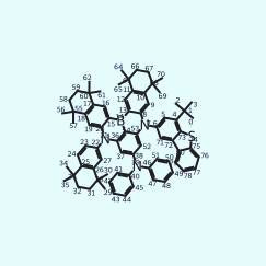 CC(C)(C)c1cc(N2c3cc4c(cc3B3c5cc6c(cc5N(c5ccc7c(c5)C(C)(C)CCC7(C)C)c5cc(N(c7ccccc7)c7ccccc7)cc2c53)C(C)(C)CCC6(C)C)C(C)(C)CCC4(C)C)cc2c1sc1ccccc12